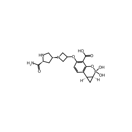 NC(=O)[C@@H]1C[C@H](N2CC(Oc3ccc4c(c3C(=O)O)O[B-](O)(O)[C@H]3C[C@@H]43)C2)CN1